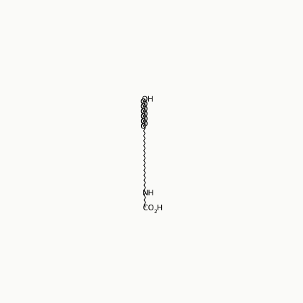 O=C(O)CCCCCNCCCCCCCCCCCCCCCCCCCCCCCCCCOOOOOOOOOOOO